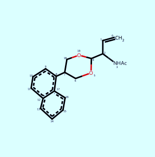 C=CC(NC(C)=O)C1OCC(c2cccc3ccccc23)CO1